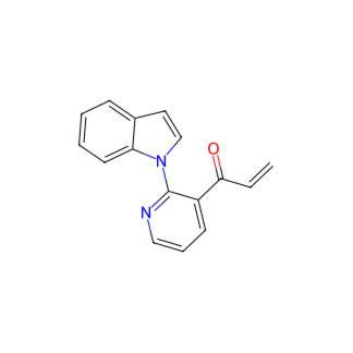 C=CC(=O)c1cccnc1-n1ccc2ccccc21